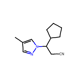 Cc1cnn(C(CC#N)C2CCCC2)c1